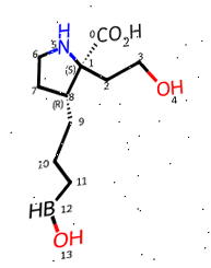 O=C(O)[C@@]1(CCO)NCC[C@H]1CCCBO